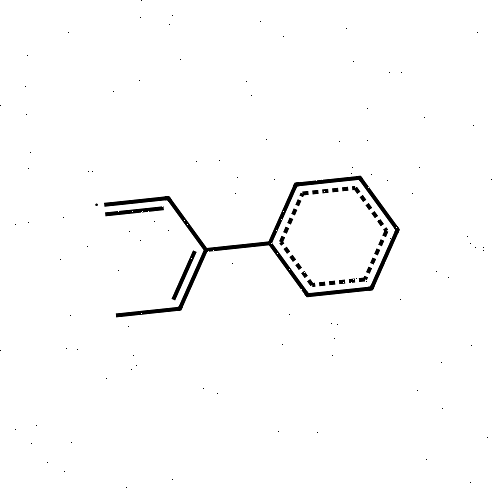 [CH]=CC(=CC)c1ccccc1